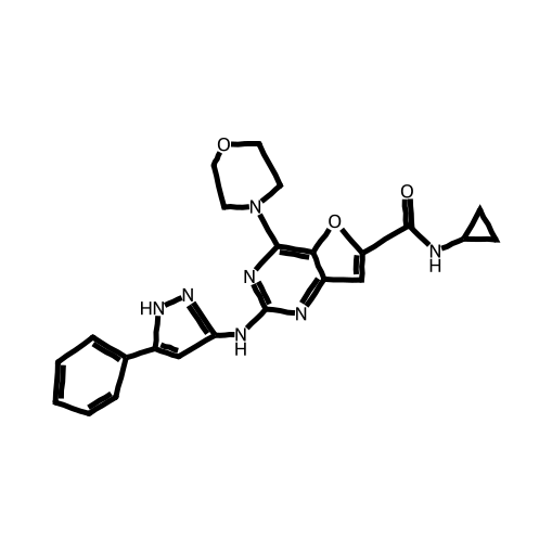 O=C(NC1CC1)c1cc2nc(Nc3cc(-c4ccccc4)[nH]n3)nc(N3CCOCC3)c2o1